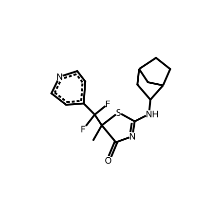 CC1(C(F)(F)c2ccncc2)SC(NC2CC3CCC2C3)=NC1=O